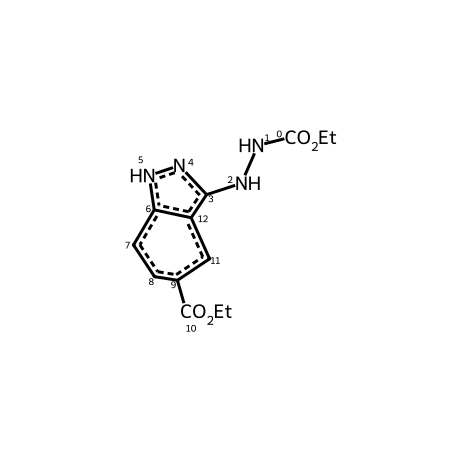 CCOC(=O)NNc1n[nH]c2ccc(C(=O)OCC)cc12